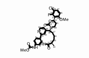 COC(=O)Nc1ccc2c(c1)NC(=O)[C@H](C)CCC[C@H](N1CC[C@H](c3c(OC)ccc(Cl)c3F)OC1=O)c1ccnc-2c1